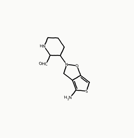 Nc1scc2c1CN(C1CCCNC1C=O)O2